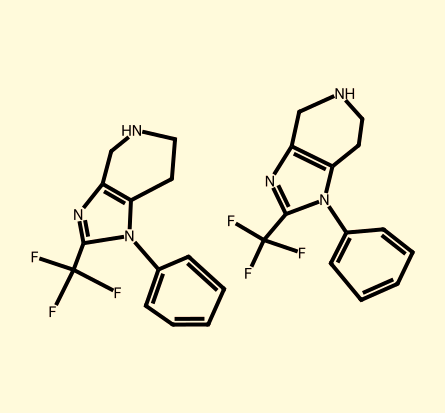 FC(F)(F)c1nc2c(n1-c1ccccc1)CCNC2.FC(F)(F)c1nc2c(n1-c1ccccc1)CCNC2